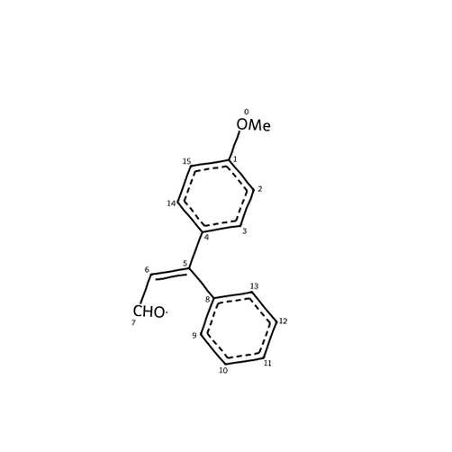 COc1ccc(C(=C[C]=O)c2ccccc2)cc1